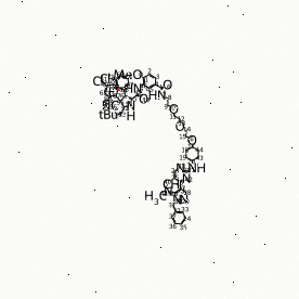 COc1ccc(C(=O)NCCOCCOCCOC2CCC(Nc3nccc(-c4cnn(Cc5ccccc5)c4N(C)C)n3)CC2)cc1NC(=O)C1NC(CC(C)(C)C)C(C#N)(c2ccc(Cl)cc2F)C1c1cccc(Cl)c1F